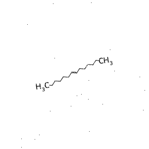 CCCCCC/C=C/CCCCCC